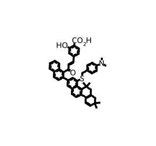 CN(C)c1ccc(CSc2cc(-c3ccc4ccccc4c3C(=O)C=Cc3ccc(C(=O)O)c(O)c3)cc3ccc4c(c23)C(C)(C)CC2=C4C=CC(C)(C)C2)cc1